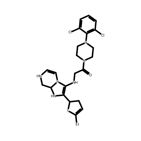 CCC1=CCC(C2=C(NCC(=O)N3CCN(c4c(Cl)cccc4Cl)CC3)N3C=CNCC3N2)S1